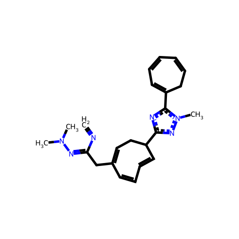 C=N/C(CC1=C/CC(c2nc(C3=CC=CC=CC3)n(C)n2)/C=C/C=C\1)=N\N(C)C